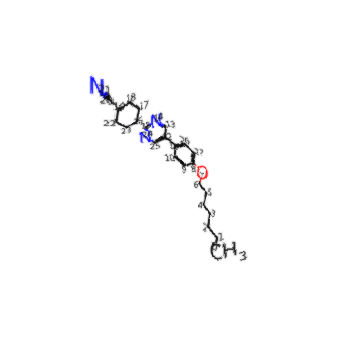 CCCCCCCOc1ccc(-c2cnc([C@H]3CC[C@H](C#N)CC3)nc2)cc1